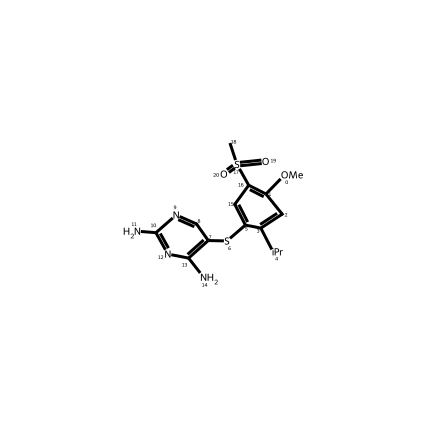 COc1cc(C(C)C)c(Sc2cnc(N)nc2N)cc1S(C)(=O)=O